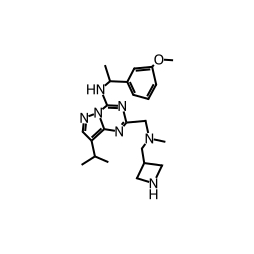 COc1cccc(C(C)Nc2nc(CN(C)CC3CNC3)nc3c(C(C)C)cnn23)c1